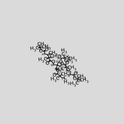 CCC(C)(C)C(=O)OCC(COC(=O)C(C)(C)CC)(COC(=O)C(C)(C)CSCC(=O)OC(C)(C)C)COC(=O)C(C)(C)C(C)CC(=O)OC(C)(C)C